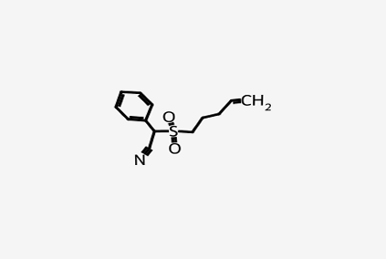 C=CCCCS(=O)(=O)C(C#N)c1ccccc1